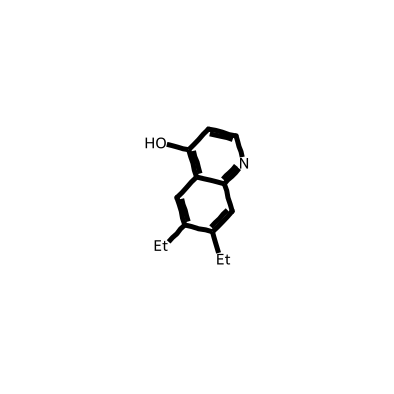 CCc1cc2nccc(O)c2cc1CC